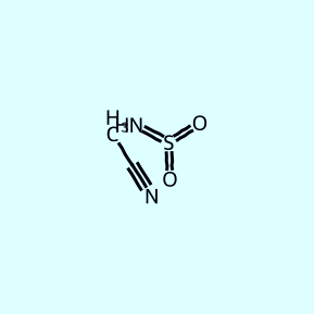 CC#N.N=S(=O)=O